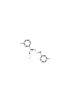 O=C(NN=C(C=NO)c1cccc(Cl)c1)c1cccc(C(F)(F)F)c1